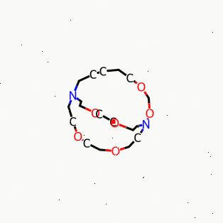 C1CCOCON2CCOCCOCCN(CC1)CCOCCOCC2